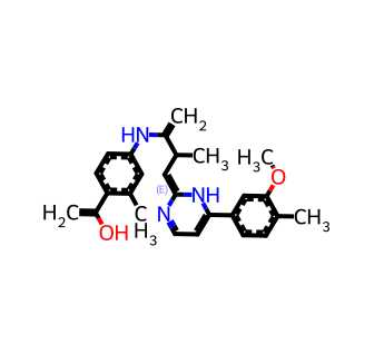 C=C(O)c1ccc(NC(=C)C(C)/C=C2/N=CC=C(c3ccc(C)c(OC)c3)N2)cc1C